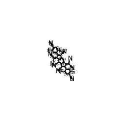 N#CC(C#N)=C1C(c2cc(F)c(C#N)cc2F)=C(C#N)c2c1cc1c(c2C#N)C(=C(C#N)C#N)C(c2cc(F)c(C#N)cc2F)=C1C#N